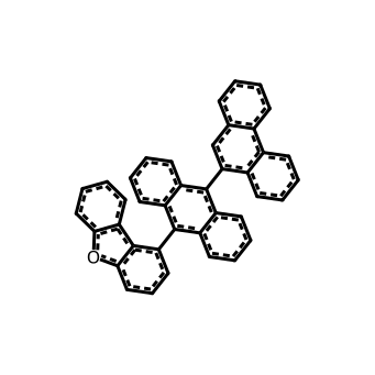 c1ccc2c(c1)cc(-c1c3ccccc3c(-c3cccc4oc5ccccc5c34)c3ccccc13)c1ccccc12